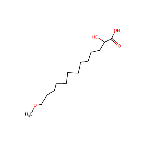 COCCCCCCCCCCCC(O)C(=O)O